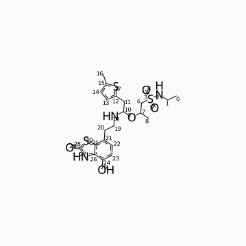 CCNS(=O)(=O)CC(C)OC(Cc1ccc(C)s1)NCCc1ccc(O)c2[nH]c(=O)sc12